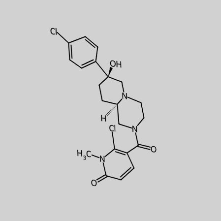 Cn1c(Cl)c(C(=O)N2CCN3C[C@@](O)(c4ccc(Cl)cc4)CC[C@@H]3C2)ccc1=O